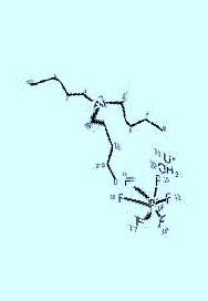 CCC[CH2][Al]([CH2]CCC)[CH2]CCC.F[P-](F)(F)(F)(F)F.O.[Li+]